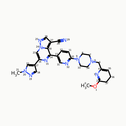 COC1=NC(CN2CCN(c3ccc(-c4nc(-c5cnn(C)c5)cn5ncc(C#N)c45)cn3)CC2)=CCC1